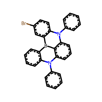 Brc1ccc2c(c1)B1c3ccccc3N(c3ccccc3)c3cccc(c31)N2c1ccccc1